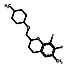 Cc1cc2c(c(F)c1F)OC(COC1CCC(C)CC1)CC2